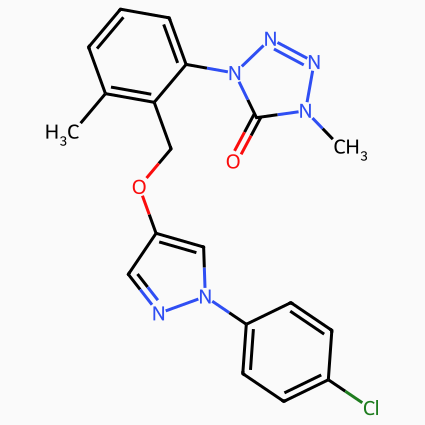 Cc1cccc(-n2nnn(C)c2=O)c1COc1cnn(-c2ccc(Cl)cc2)c1